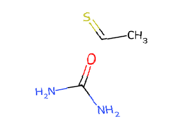 CC=S.NC(N)=O